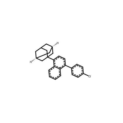 Clc1ccc(-c2ccc(C34CC5C[C@H](C3)C[C@@H](C5)C4)c3ccccc23)cc1